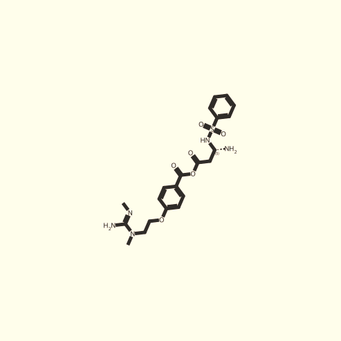 CN=C(N)N(C)CCOc1ccc(C(=O)OC(=O)C[C@@H](N)NS(=O)(=O)c2ccccc2)cc1